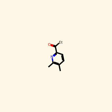 CCC(=O)c1ccc(C)c(C)n1